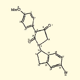 COc1ccc(N2C(=O)CN(C3CCc4cc(Br)ccc43)C2=O)cc1